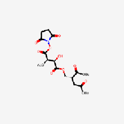 CC(=O)O[C@@H](C(=O)ON1C(=O)CCC1=O)[C@@H](O)C(=O)OC[C@@H](CC(=O)OCC(C)C)C(=O)OCC(C)C